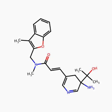 Cc1c(CN(C)C(=O)C=CC2=CN=CC(N)(C(C)(C)O)C2)oc2ccccc12